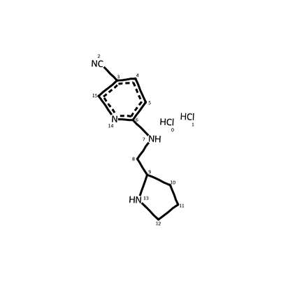 Cl.Cl.N#Cc1ccc(NCC2CCCN2)nc1